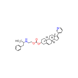 C[C@]12CC[C@H](OC(=O)OCCN[C@@H](Cc3ccccc3)C(=O)O)CC1=CC[C@@H]1[C@@H]2CC[C@]2(C)C(c3cccnc3)=CC[C@@H]12